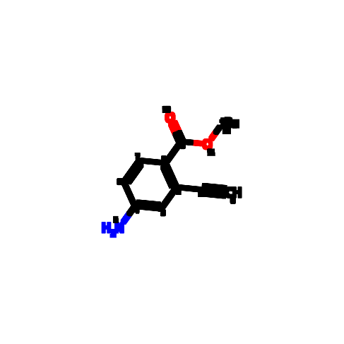 C#Cc1cc(N)ccc1C(=O)OC(C)(C)C